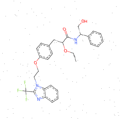 CCOC(Cc1ccc(OCCn2c(C(F)(F)F)nc3ccccc32)cc1)C(=O)NC(CO)c1ccccc1